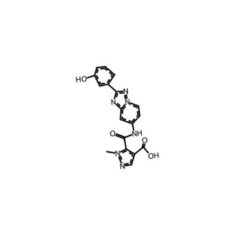 Cn1ncc(C(=O)O)c1C(=O)Nc1ccn2nc(-c3cccc(O)c3)nc2c1